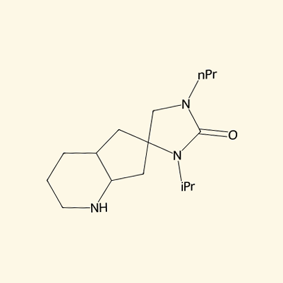 CCCN1CC2(CC3CCCNC3C2)N(C(C)C)C1=O